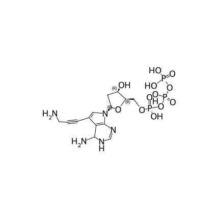 NCC#Cc1cn([C@H]2C[C@@H](O)[C@@H](COP(=O)(O)OP(=O)(O)OP(=O)(O)O)O2)c2c1C(N)NC=N2